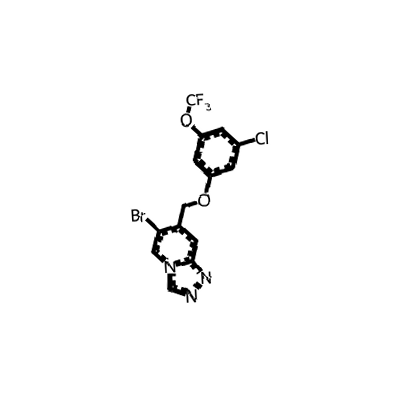 FC(F)(F)Oc1cc(Cl)cc(OCc2cc3nncn3cc2Br)c1